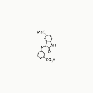 COc1ccc2c(c1)/C(=N/c1cccc(C(=O)O)c1)C(=O)N2